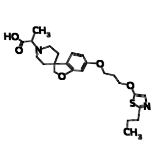 CCCc1ncc(OCCCOc2ccc3c(c2)OCC32CCN(C(C)C(=O)O)CC2)s1